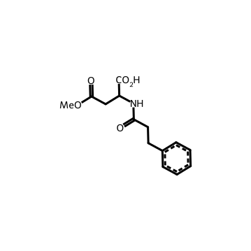 COC(=O)CC(NC(=O)CCc1ccccc1)C(=O)O